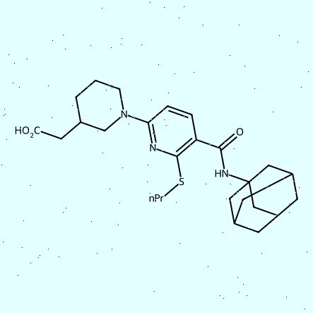 CCCSc1nc(N2CCCC(CC(=O)O)C2)ccc1C(=O)NC12CC3CC(CC(C3)C1)C2